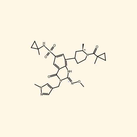 CO/N=c1\[nH]c2c(C3CCN(C(=O)C4(C)CC4)[C@H](C)C3)cc(S(=O)(=O)NC3(C)CC3)cc2c(=O)n1Cc1cnn(C)c1